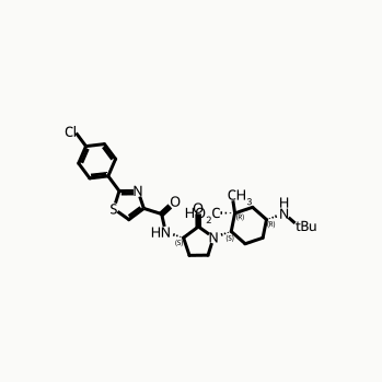 CC(C)(C)N[C@@H]1CC[C@H](N2CC[C@H](NC(=O)c3csc(-c4ccc(Cl)cc4)n3)C2=O)[C@](C)(C(=O)O)C1